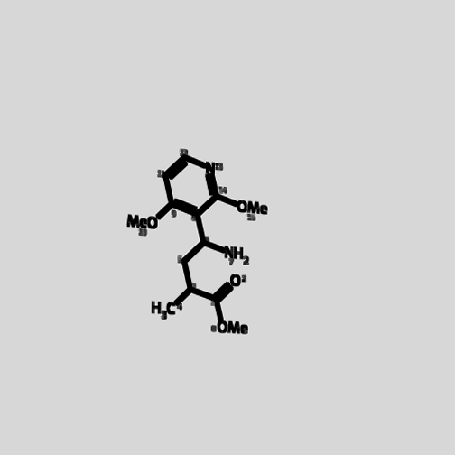 COC(=O)C(C)CC(N)c1c(OC)ccnc1OC